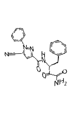 N#Cc1cc(C(=O)N[C@@H](Cc2ccccc2)C(=O)C(N)=O)nn1-c1ccccc1